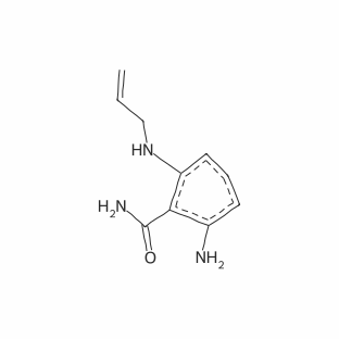 C=CCNc1cccc(N)c1C(N)=O